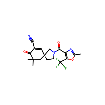 Cc1nc(C(=O)N2CC[C@@]3(C=C(C#N)C(=O)C(C)(C)C3)C2)c(C(F)(F)F)o1